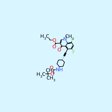 CCOC(=O)c1cn(C)c2c(F)cc(F)c(C#C[C@H]3CC[C@H](NC(=O)OC(C)(C)C)CC3)c2c1=O